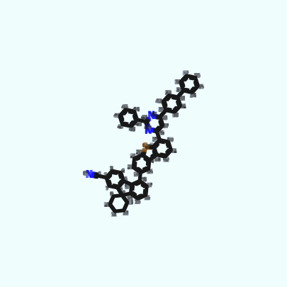 N#Cc1ccc2c(c1)C1(CCCCC1)c1cccc(-c3ccc4sc5c(-c6cc(-c7ccc(-c8ccccc8)cc7)nc(-c7ccccc7)n6)cccc5c4c3)c1-2